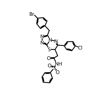 O=C(CC1Sc2nnc(Cc3ccc(Br)cc3)n2N=C1c1ccc(Cl)cc1)NS(=O)(=O)c1ccccc1